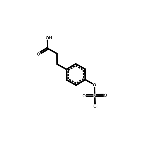 O=C(O)CCc1ccc(OS(=O)(=O)O)cc1